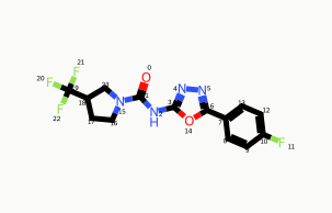 O=C(Nc1nnc(-c2ccc(F)cc2)o1)N1CCC(C(F)(F)F)C1